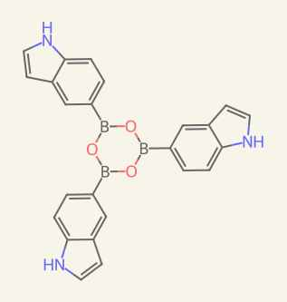 c1cc2cc(B3OB(c4ccc5[nH]ccc5c4)OB(c4ccc5[nH]ccc5c4)O3)ccc2[nH]1